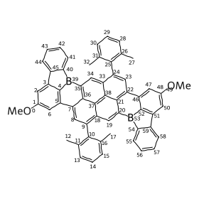 COc1cc2c3c(c1)-c1cc(-c4c(C)cccc4C)c4cc5c6c(cc(-c7c(C)cccc7C)c7cc(c1c4c76)B3c1ccccc1-2)-c1cc(OC)cc2c1B5c1ccccc1-2